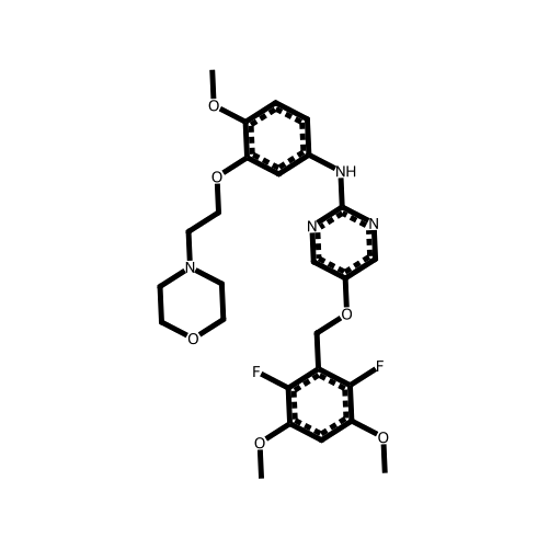 COc1ccc(Nc2ncc(OCc3c(F)c(OC)cc(OC)c3F)cn2)cc1OCCN1CCOCC1